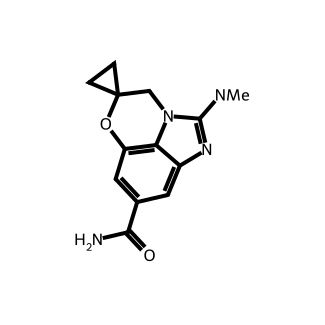 CNc1nc2cc(C(N)=O)cc3c2n1CC1(CC1)O3